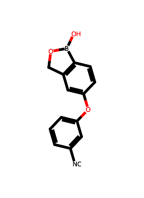 [C-]#[N+]c1cccc(Oc2ccc3c(c2)COB3O)c1